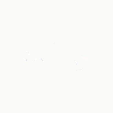 CC1Cc2nncn2N=C1c1ccc2c(c1)CCC(=O)N2C